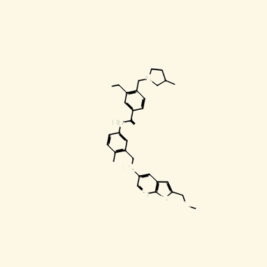 COCc1cc2cc(NCc3cc(NC(=O)c4ccc(CN5CCC(C)C5)c(CF)c4)ccc3C)cnc2[nH]1